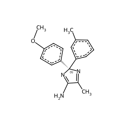 COc1ccc([C@]2(c3cccc(C)c3)N=C(C)C(N)=N2)cc1